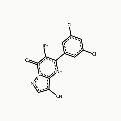 CC(C)c1c(-c2cc(Cl)cc(Cl)c2)[nH]c2c(C#N)cnn2c1=O